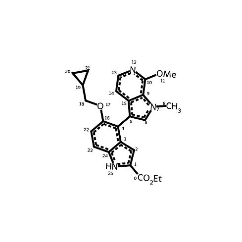 CCOC(=O)c1cc2c(-c3cn(C)c4c(OC)nccc34)c(OCC3CC3)ccc2[nH]1